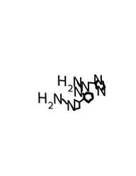 NCCN1CCC(c2cccc3c2nc(N)n3Cc2cnccn2)C1